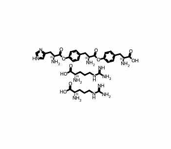 N=C(N)NCCC[C@H](N)C(=O)O.N=C(N)NCCC[C@H](N)C(=O)O.N[C@@H](Cc1ccc(OC(=O)[C@@H](N)Cc2ccc(OC(=O)[C@@H](N)Cc3c[nH]cn3)cc2)cc1)C(=O)O